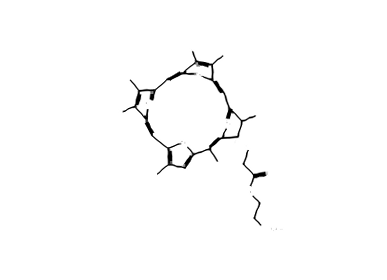 CCC1=C(C)c2cc3[nH]c(cc4nc(c(C)c5cc(C)c(cc1n2)[nH]5)[C@@H](CCC(=O)NCCOC)C4C)c(C)c3CC